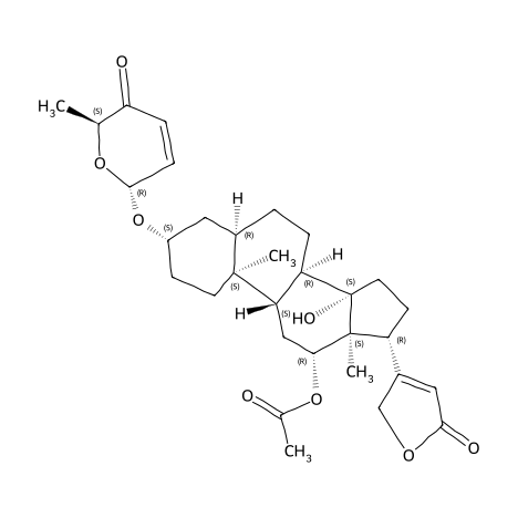 CC(=O)O[C@@H]1C[C@H]2[C@@H](CC[C@@H]3C[C@@H](O[C@H]4C=CC(=O)[C@H](C)O4)CC[C@@]32C)[C@@]2(O)CC[C@H](C3=CC(=O)OC3)[C@@]12C